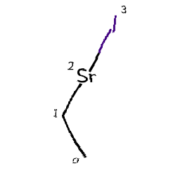 C[CH2][Sr][I]